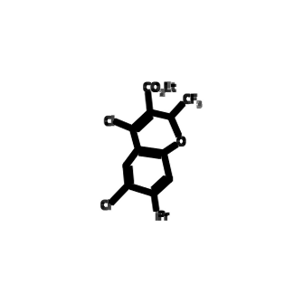 CCOC(=O)C1=C(Cl)c2cc(Cl)c(C(C)C)cc2OC1C(F)(F)F